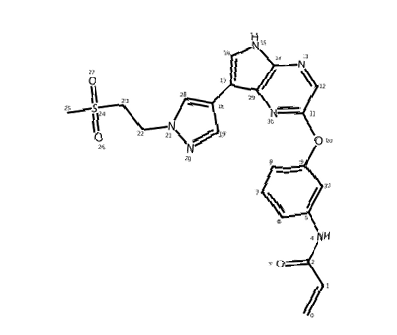 C=CC(=O)Nc1cccc(Oc2cnc3[nH]cc(-c4cnn(CCS(C)(=O)=O)c4)c3n2)c1